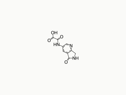 O=C(O)C(=O)Nc1cnc2c(c1)C(=O)NC2